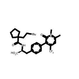 Cc1cc(C(F)(F)F)c(-c2ccc(C[C@H](NC(=O)C3(CCC(C)(C)C)CCCC3)C(=O)O)cc2)c(=O)n1C